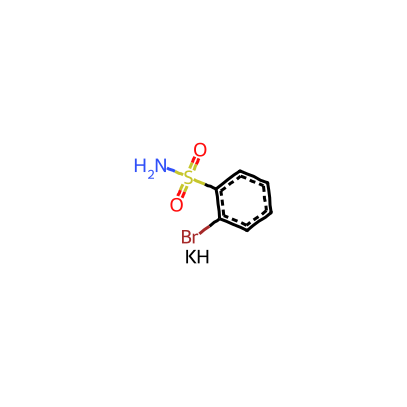 NS(=O)(=O)c1ccccc1Br.[KH]